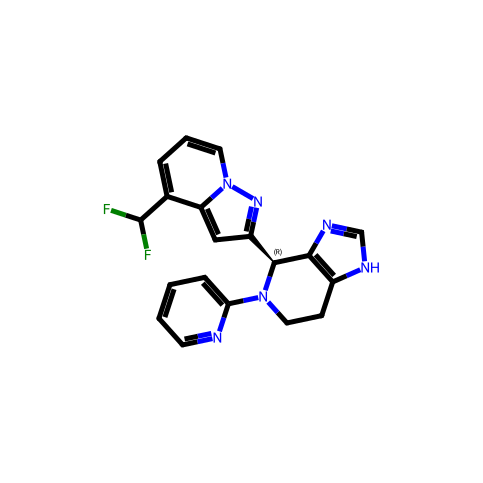 FC(F)c1cccn2nc([C@H]3c4nc[nH]c4CCN3c3ccccn3)cc12